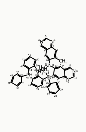 Cc1cc2ncncc2cc1N(C)c1cc2cncnc2cc1[PH](C)(c1ccccc1)c1ccccc1N(C)c1ccccc1Pc1ccccc1